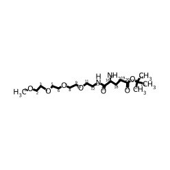 COCCOCCOCCOCCNC(=O)[C@@H](N)CCC(=O)OC(C)(C)C